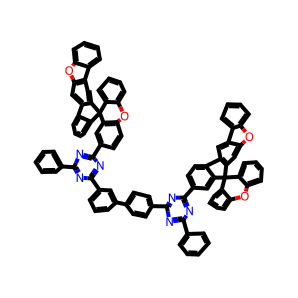 c1ccc(-c2nc(-c3cccc(-c4ccc(-c5nc(-c6ccccc6)nc(-c6ccc7c(c6)C6(c8ccccc8Oc8ccccc86)c6cc8oc9ccccc9c8cc6-7)n5)cc4)c3)nc(-c3ccc4c(c3)C3(c5ccccc5O4)c4ccccc4-c4cc5oc6ccccc6c5cc43)n2)cc1